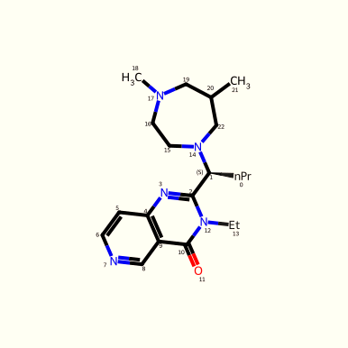 CCC[C@@H](c1nc2ccncc2c(=O)n1CC)N1CCN(C)CC(C)C1